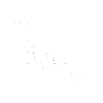 CC(C)CCCC(C)C1CCC2C3CC=C4C[C@@H](OCC(C)C)CCC4(C)C3CCC12C